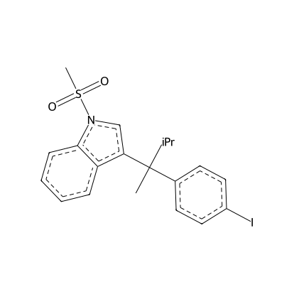 CC(C)C(C)(c1ccc(I)cc1)c1cn(S(C)(=O)=O)c2ccccc12